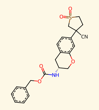 N#CC1(c2ccc3c(c2)OC[C@H](NC(=O)OCc2ccccc2)C3)CCS(=O)(=O)C1